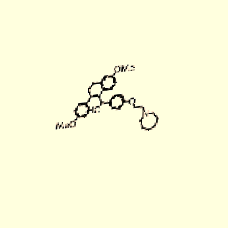 COc1ccc(C2=C(C(O)c3ccc(OCCN4CCCCCC4)cc3)c3ccc(OC)cc3CC2)cc1